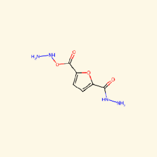 NNOC(=O)c1ccc(C(=O)NN)o1